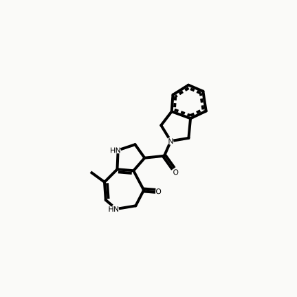 CC1=CNCC(=O)C2=C1NCC2C(=O)N1Cc2ccccc2C1